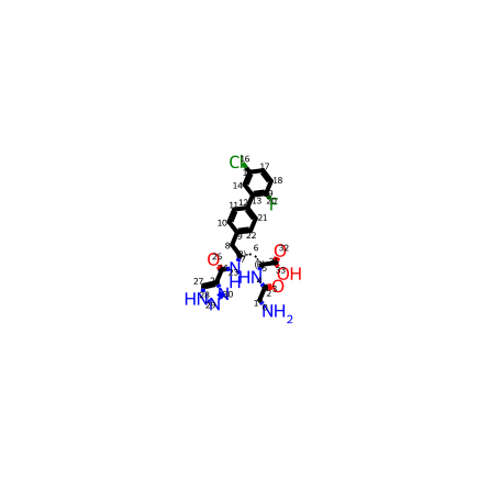 NCC(=O)N[C@H](C[C@@H](Cc1ccc(-c2cc(Cl)ccc2F)cc1)NC(=O)c1c[nH]nn1)C(=O)O